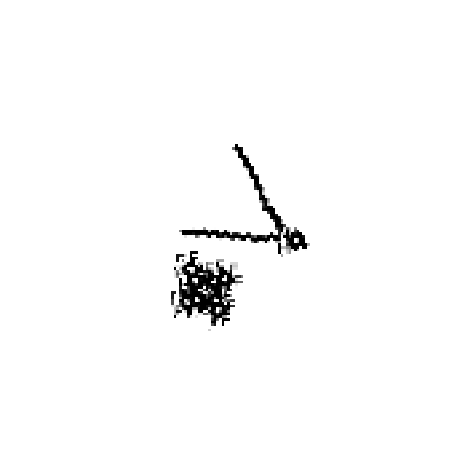 CCCCCCCCCCCCCCCCCC[NH+](CCCCCCCCCCCCCCCCCC)c1ccc(C)cc1.Fc1c(F)c(F)c2c(F)c([B-](c3c(F)c(F)c4c(F)c(F)c(F)c(F)c4c3F)(c3c(F)c(F)c4c(F)c(F)c(F)c(F)c4c3F)c3c(F)c(F)c4c(F)c(F)c(F)c(F)c4c3F)c(F)c(F)c2c1F